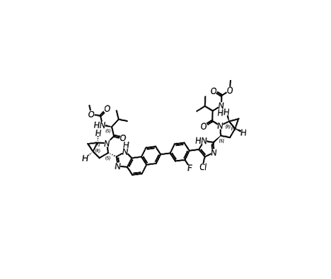 COC(=O)NC(C(=O)N1[C@@H]2C[C@@H]2C[C@H]1c1nc(Cl)c(-c2ccc(-c3ccc4c(ccc5nc([C@@H]6C[C@H]7C[C@H]7N6C(=O)[C@@H](NC(=O)OC)C(C)C)[nH]c54)c3)cc2F)[nH]1)C(C)C